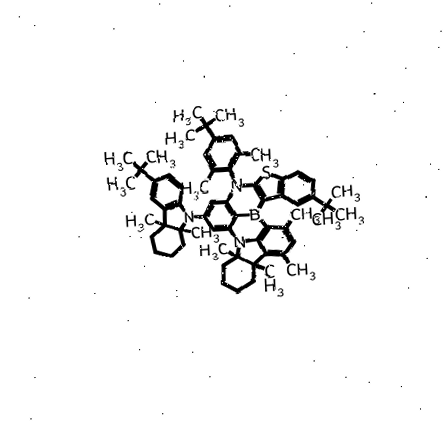 Cc1cc(C)c2c3c1B1c4c(cc(N5c6ccc(C(C)(C)C)cc6C6(C)CCCCC56C)cc4N3C3(C)CCCCC23C)N(c2c(C)cc(C(C)(C)C)cc2C)c2sc3ccc(C(C)(C)C)cc3c21